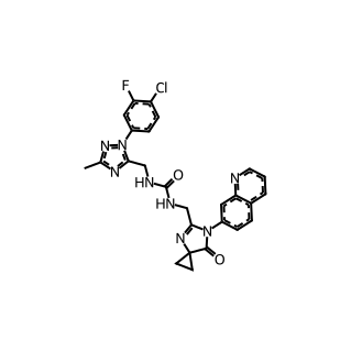 Cc1nc(CNC(=O)NCC2=NC3(CC3)C(=O)N2c2ccc3cccnc3c2)n(-c2ccc(Cl)c(F)c2)n1